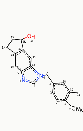 COc1ccc(Cn2cnc3cc4c(cc32)C(O)CC4)cc1C